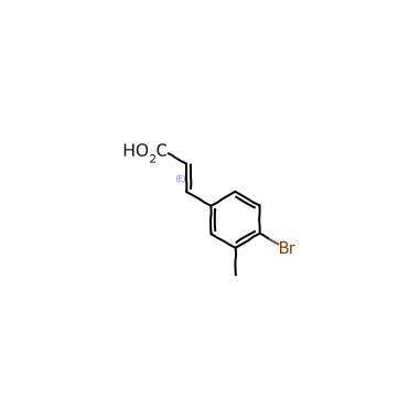 Cc1cc(/C=C/C(=O)O)ccc1Br